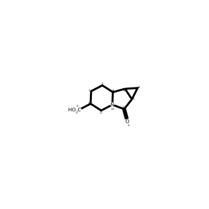 O=C(O)C1CCC2C3CC3C(=O)N2C1